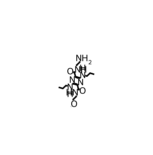 CCCNc1nc(C(=O)NCCOC)c(NCCC)nc1C(=O)NCCN